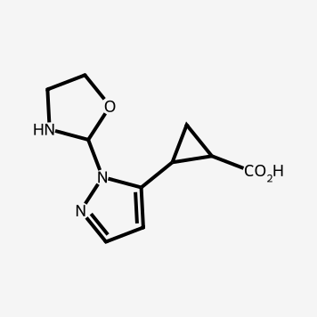 O=C(O)C1CC1c1ccnn1C1NCCO1